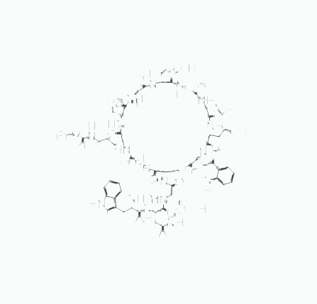 CC(=O)N[C@@H](Cc1c[nH]c2ccccc12)C(=O)N[C@H](CC(N)=O)C(=O)N[C@@H](CC(=O)O)C(=O)N[C@@H]1C(=O)NCC(=O)N[C@@H](CCCNC(=O)OC(C)C)C(=O)N[C@@H](CC(=O)O)C(=O)N[C@H](C)C(=O)N[C@@H](CC(=O)O)C(=O)NCC(=O)N[C@H](CO)C(=O)N[C@@H]([C@@H](C)CC(=O)O)C(=O)N[C@@H](CC(=O)c2ccccc2N)C(=O)O[C@@H]1C